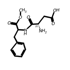 COC(=O)C(Cc1ccccc1)NC(=O)[C@@H](N)CC(=O)O